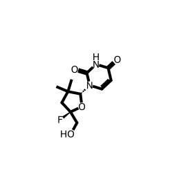 CC1(C)C[C@@](F)(CO)O[C@H]1n1ccc(=O)[nH]c1=O